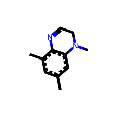 Cc1cc(C)c2c(c1)N(C)CC=N2